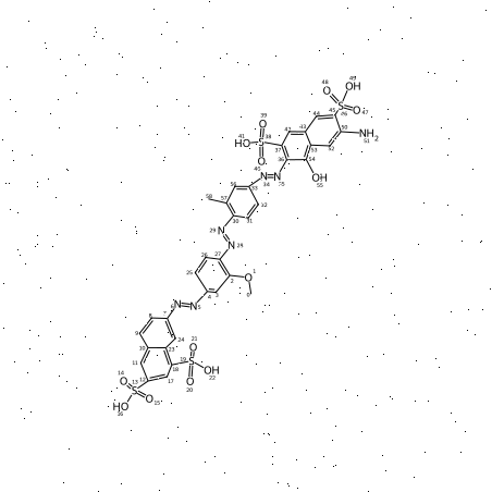 COc1cc(N=Nc2ccc3cc(S(=O)(=O)O)cc(S(=O)(=O)O)c3c2)ccc1N=Nc1ccc(N=Nc2c(S(=O)(=O)O)cc3cc(S(=O)(=O)O)c(N)cc3c2O)cc1C